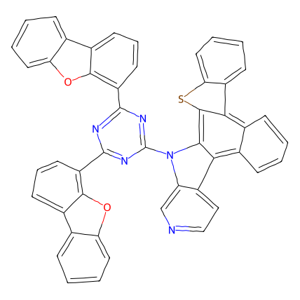 c1ccc2c(c1)oc1c(-c3nc(-c4cccc5c4oc4ccccc45)nc(-n4c5cnccc5c5c6ccccc6c6c7ccccc7sc6c54)n3)cccc12